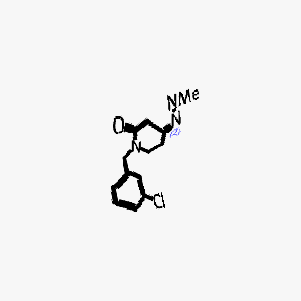 CN/N=C1/CCN(Cc2cccc(Cl)c2)C(=O)C1